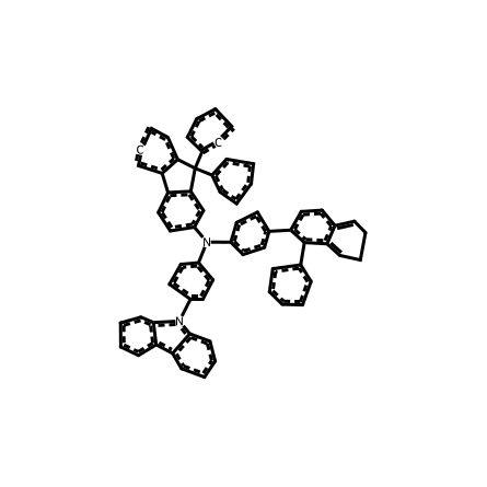 C1=c2ccc(-c3ccc(N(c4ccc(-n5c6ccccc6c6ccccc65)cc4)c4ccc5c(c4)C(c4ccccc4)(c4ccccc4)c4ccccc4-5)cc3)c(-c3ccccc3)c2=CCC1